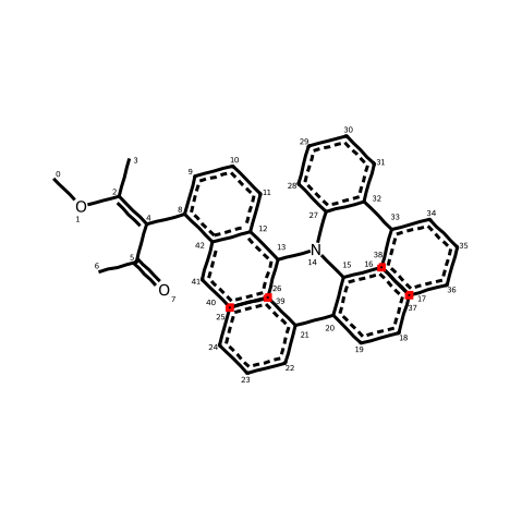 CO/C(C)=C(\C(C)=O)c1cccc2c(N(c3ccccc3-c3ccccc3)c3ccccc3-c3ccccc3)cccc12